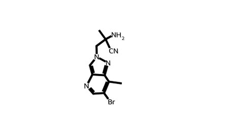 Cc1c(Br)cnc2cn(CC(C)(N)C#N)nc12